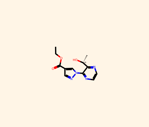 CCOC(=O)c1cnn(-c2nccnc2[C@@H](C)O)c1